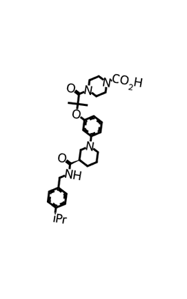 CC(C)c1ccc(CNC(=O)[C@@H]2CCCN(c3cccc(OC(C)(C)C(=O)N4CCN(C(=O)O)CC4)c3)C2)cc1